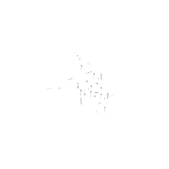 COc1ccc(Nc2nc(NC3=CC=CC(C)C3)nc(Nc3cccc(C)c3)n2)cc1